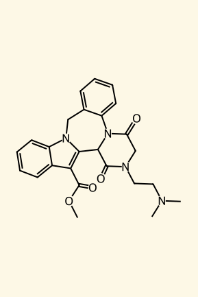 COC(=O)c1c2n(c3ccccc13)Cc1ccccc1N1C(=O)CN(CCN(C)C)C(=O)C21